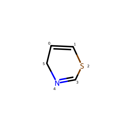 C1=CSC=NC1